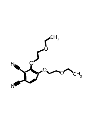 CCOCCOc1ccc(C#N)c(C#N)c1OCCOCC